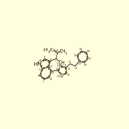 CC(c1c[nH]c2cccc(-c3nc(CCc4ccccc4)cs3)c12)N(C)C